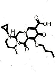 CCCCOc1c2n(cc(C(=O)O)c1=O)C[C@H]1N(C3CC3)CC[C@H](C)N1C2=O